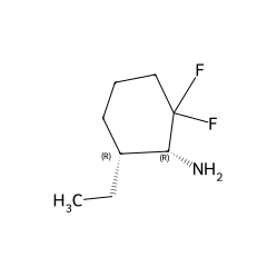 CC[C@@H]1CCCC(F)(F)[C@@H]1N